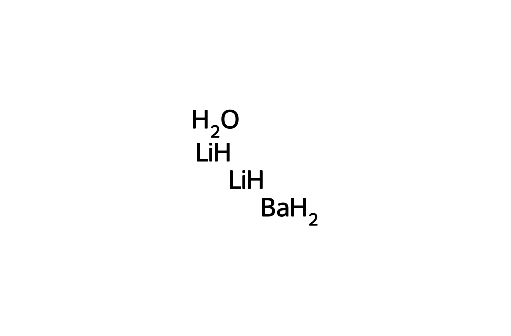 O.[BaH2].[LiH].[LiH]